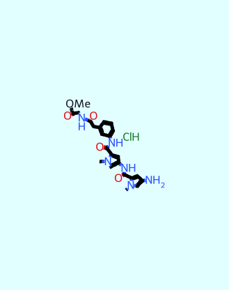 COC(=O)CNC(=O)Cc1cccc(NC(=O)c2cc(NC(=O)c3cc(N)cn3C)cn2C)c1.Cl